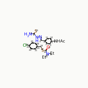 CC(=O)Nc1ccc(/C=N/NC(N)=S)cc1.CCN(CC)C(=O)SCc1ccc(Cl)cc1